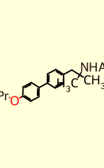 CCCOc1ccc(-c2ccc(CC(C)(C)NC(C)=O)cc2)cc1